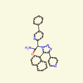 NC(=O)C(c1ccc(-c2ccccc2)cn1)n1nnc(-c2ccncc2)c1-c1cccc2ccccc12